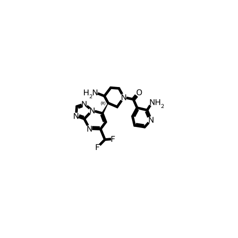 Nc1ncccc1C(=O)N1CCC(N)[C@H](c2cc(C(F)F)nc3ncnn23)C1